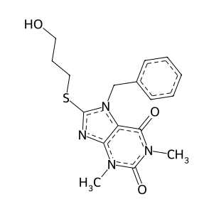 Cn1c(=O)c2c(nc(SCCCO)n2Cc2ccccc2)n(C)c1=O